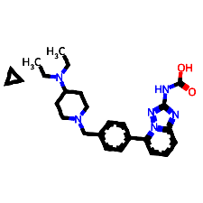 C1CC1.CCN(CC)C1CCN(Cc2ccc(-c3cccc4nc(NC(=O)O)nn34)cc2)CC1